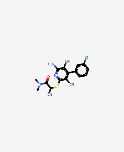 CN(C)C(=O)C(C#N)Sc1nc(N)c(C#N)c(-c2cccc(Cl)c2)c1C#N